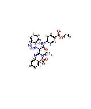 COC(=O)c1ccc(NC(=O)C(C2=Nc3ccccc3S(=O)(=O)N2C)n2nnc3ccccc32)cc1